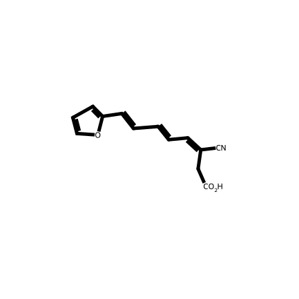 N#CC(=CC=CC=Cc1ccco1)CC(=O)O